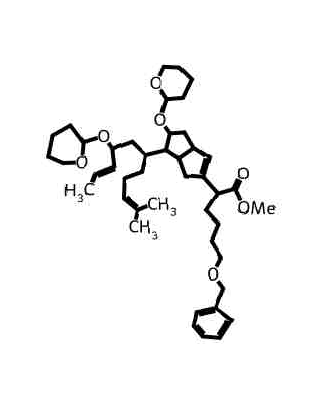 CC=CC(CC(CCC=C(C)C)C1C(OC2CCCCO2)CC2C=C(C(CCCCOCc3ccccc3)C(=O)OC)CC21)OC1CCCCO1